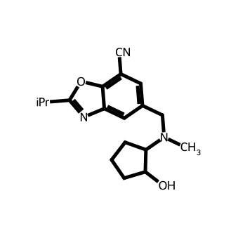 CC(C)c1nc2cc(CN(C)C3CCCC3O)cc(C#N)c2o1